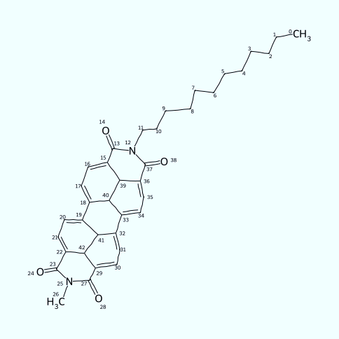 CCCCCCCCCCCCN1C(=O)C2=CC=C3C4=CC=C5C(=O)N(C)C(=O)C6=CC=C(C7=CC=C(C1=O)C2C37)C4C56